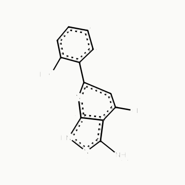 Cc1ccccc1-c1cc(C)c2c(N)n[nH]c2n1